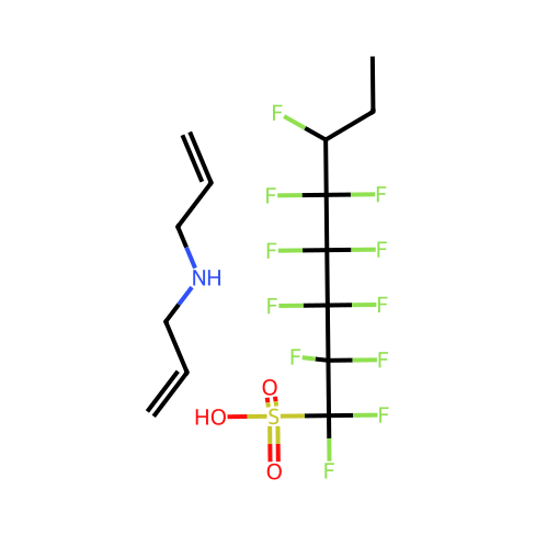 C=CCNCC=C.CCC(F)C(F)(F)C(F)(F)C(F)(F)C(F)(F)C(F)(F)S(=O)(=O)O